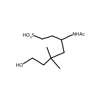 CC(=O)NC(CCS(=O)(=O)O)CC(C)(C)CCO